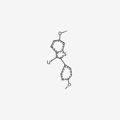 [Li][c]1c(-c2ccc(OC)cc2)sc2cc(OC)ccc12